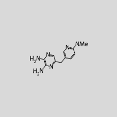 CNc1ccc(Cc2cnc(N)c(N)n2)cn1